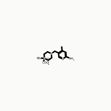 Cc1cc(N)ncc1CN1CC[N+](C(=O)[O-])(C(C)(C)C)[C@@H](C)C1